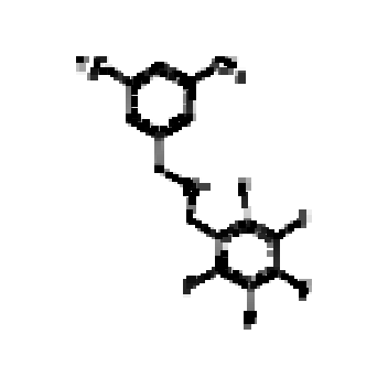 Fc1c(F)c(F)c(CNCc2cc(C(F)(F)F)cc(C(F)(F)F)c2)c(F)c1F